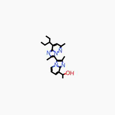 CCC(CC)c1cc(C)nn2c(-c3c(C)nc4c(C(C)O)cccn34)c(C)nc12